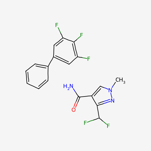 Cn1cc(C(N)=O)c(C(F)F)n1.Fc1cc(-c2ccccc2)cc(F)c1F